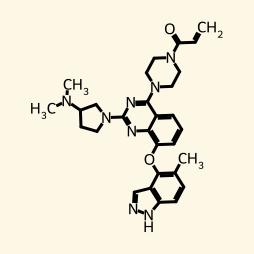 C=CC(=O)N1CCN(c2nc(N3CCC(N(C)C)C3)nc3c(Oc4c(C)ccc5[nH]ncc45)cccc23)CC1